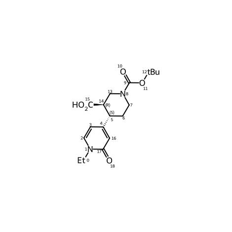 CCn1ccc([C@H]2CCN(C(=O)OC(C)(C)C)C[C@@H]2C(=O)O)cc1=O